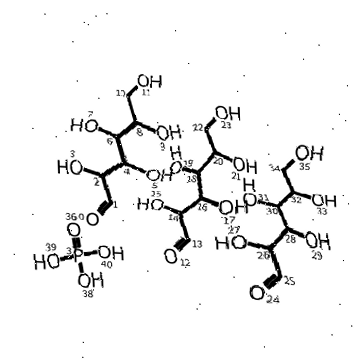 O=CC(O)C(O)C(O)C(O)CO.O=CC(O)C(O)C(O)C(O)CO.O=CC(O)C(O)C(O)C(O)CO.O=P(O)(O)O